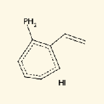 C=Cc1ccccc1P.I